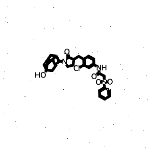 O=C(CS(=O)(=O)c1ccccc1)Nc1ccc(CC2CCN(C3C4CC5CC3CC(O)(C5)C4)C2=O)c(Cl)c1